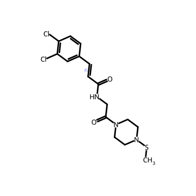 CSN1CCN(C(=O)CNC(=O)/C=C/c2ccc(Cl)c(Cl)c2)CC1